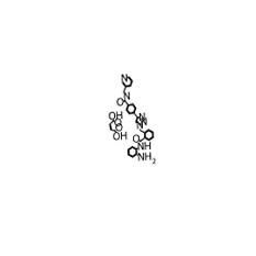 Nc1ccccc1NC(=O)c1ccccc1Cn1cc(-c2ccc(C(=O)N=Cc3cccnc3)cc2)nn1.O=C(O)/C=C\C(=O)O